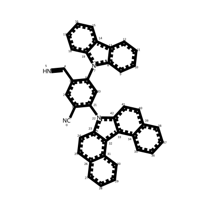 N#Cc1cc(C=N)c(-n2c3ccccc3c3ccccc32)cc1-n1c2ccc3ccccc3c2c2c3ccccc3ccc21